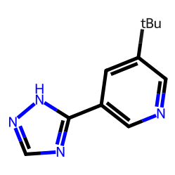 CC(C)(C)c1cncc(-c2ncn[nH]2)c1